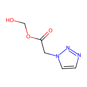 O=C(Cn1ccnn1)OCO